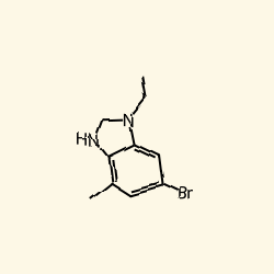 CCN1CNc2c(C)cc(Br)cc21